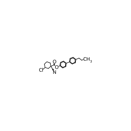 CCCc1ccc(-c2ccc(OC(=O)C3(C#N)CCCC(Cl)C3)cc2)cc1